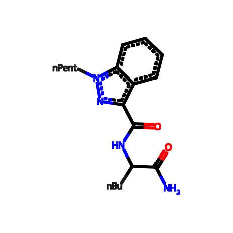 CCCCCn1nc(C(=O)NC(CCCC)C(N)=O)c2ccccc21